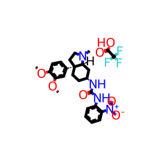 COc1ccc([C@@]23CC[C@@H](NC(=O)Nc4ccccc4[N+](=O)[O-])C[C@@H]2N(C)CC3)cc1OC.O=C(O)C(F)(F)F